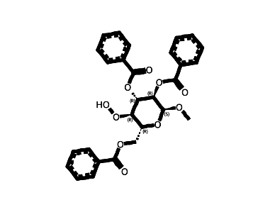 CO[C@H]1O[C@H](COC(=O)c2ccccc2)[C@@H](OO)[C@H](OC(=O)c2ccccc2)[C@H]1OC(=O)c1ccccc1